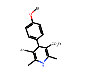 CCOC(=O)C1=C(C)NC(C)=C(C(C)=O)C1c1ccc(OCC)cc1